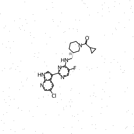 O=C(C1CC1)N1CCC[C@@H](CNc2nc(-c3c[nH]c4ncc(Cl)cc34)ncc2F)C1